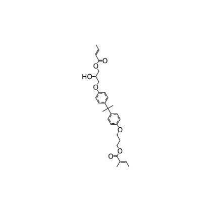 CC=CC(=O)OCC(O)COc1ccc(C(C)(C)c2ccc(OCCCOC(=O)C(C)=CC)cc2)cc1